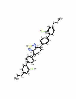 CC(C)CCc1ccc(-c2ccc(-c3ccc(-c4ccc(-c5ccc(CCC(C)C)cc5F)cc4)c4nsnc34)cc2)c(F)c1